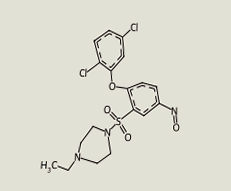 CCN1CCN(S(=O)(=O)c2cc(N=O)ccc2Oc2cc(Cl)ccc2Cl)CC1